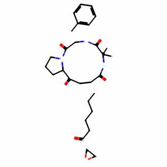 CC1(C)NC(=O)[C@H](CCCCCC(=O)[C@@H]2CO2)CC(=O)[C@H]2CCCN2C(=O)[C@H](Cc2ccccc2)NC1=O